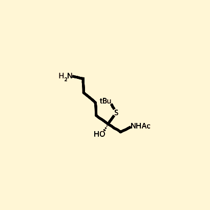 [CH2]C(=O)NC[C@@](O)(CCCCN)SC(C)(C)C